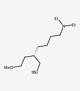 CCN(CC)CCCC[C@@H](CCOC)CC(C)(C)C